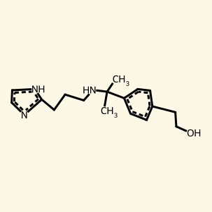 CC(C)(NCCCc1ncc[nH]1)c1ccc(CCO)cc1